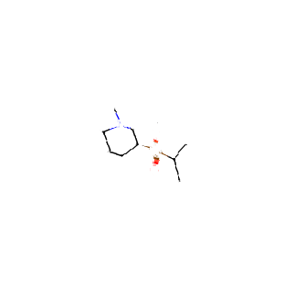 CC(C)S(=O)(=O)[C@H]1CCCN(C)C1